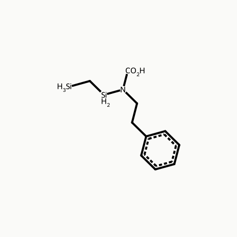 O=C(O)N(CCc1ccccc1)[SiH2]C[SiH3]